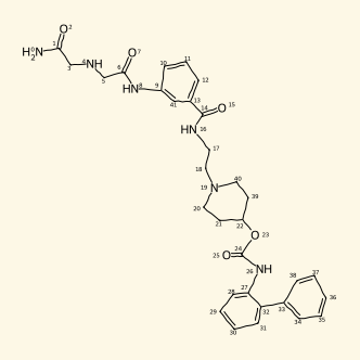 NC(=O)CNCC(=O)Nc1cccc(C(=O)NCCN2CCC(OC(=O)Nc3ccccc3-c3ccccc3)CC2)c1